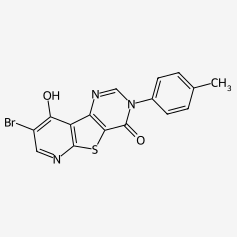 Cc1ccc(-n2cnc3c(sc4ncc(Br)c(O)c43)c2=O)cc1